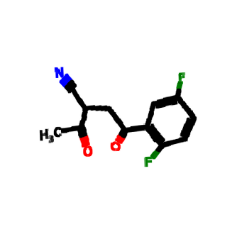 CC(=O)C(C#N)CC(=O)c1cc(F)ccc1F